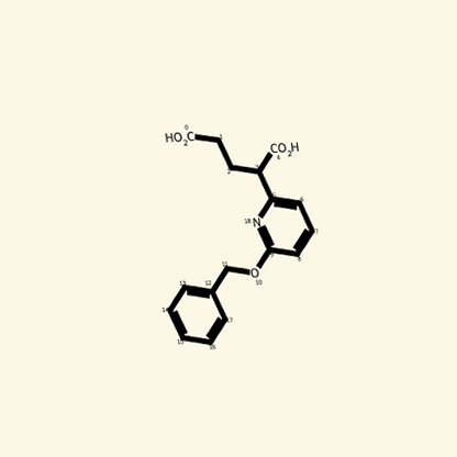 O=C(O)CCC(C(=O)O)c1cccc(OCc2ccccc2)n1